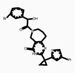 CC(C)c1csc(C2(c3nc4c(c(=O)[nH]3)CN(C(=O)C(O)c3cccc(Br)c3)CCC4)CC2)c1